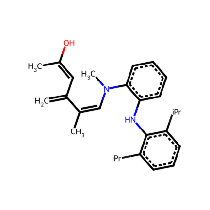 C=C(/C=C(\C)O)/C(C)=C\N(C)c1ccccc1Nc1c(C(C)C)cccc1C(C)C